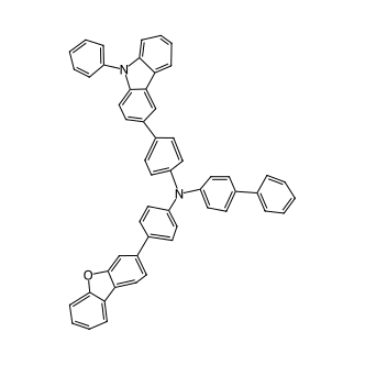 c1ccc(-c2ccc(N(c3ccc(-c4ccc5c(c4)oc4ccccc45)cc3)c3ccc(-c4ccc5c(c4)c4ccccc4n5-c4ccccc4)cc3)cc2)cc1